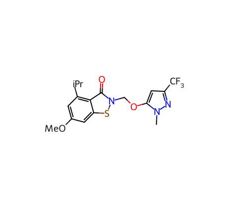 COc1cc(C(C)C)c2c(=O)n(COc3cc(C(F)(F)F)nn3C)sc2c1